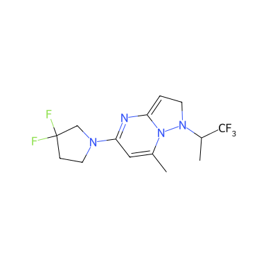 CC1=CC(N2CCC(F)(F)C2)=NC2=CCN(C(C)C(F)(F)F)N12